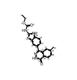 CCOC(=O)Nc1nc2cc(-c3n[nH]c(=O)c4ccc(C)cc34)ccc2[nH]1